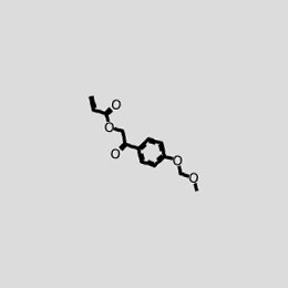 C=CC(=O)OCC(=O)c1ccc(OCOC)cc1